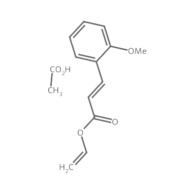 C=COC(=O)/C=C/c1ccccc1OC.CC(=O)O